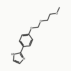 COCCOCOc1ccc(-c2ncc[nH]2)cc1